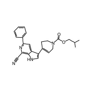 CC(C)COC(=O)N1CC=C(c2c[nH]c3c(C#N)nc(-c4ccccc4)cc23)CC1